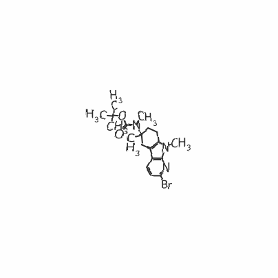 CN(C(=O)OC(C)(C)C)C1(C)CCc2c(c3ccc(Br)nc3n2C)C1